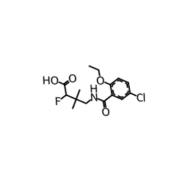 CCOc1ccc(Cl)cc1C(=O)NCC(C)(C)C(F)C(=O)O